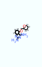 Nc1nc(N)c2c(OCC3CCCCO3)cccc2n1